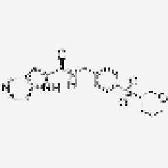 O=C(NCc1ccc(S(=O)(=O)C2CCCOC2)cc1)c1cc2cnccc2[nH]1